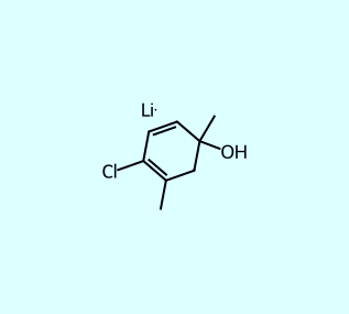 CC1=C(Cl)C=CC(C)(O)C1.[Li]